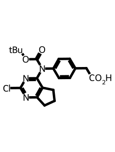 CC(C)(C)OC(=O)N(c1ccc(CC(=O)O)cc1)c1nc(Cl)nc2c1CCC2